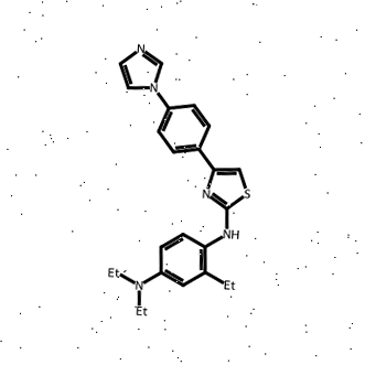 CCc1cc(N(CC)CC)ccc1Nc1nc(-c2ccc(-n3ccnc3)cc2)cs1